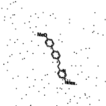 CCCCCCc1ccc(CCc2ccc(-c3ccc(OC)cc3)cc2)nc1